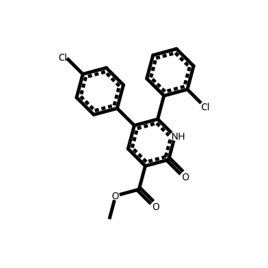 COC(=O)c1cc(-c2ccc(Cl)cc2)c(-c2ccccc2Cl)[nH]c1=O